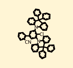 N#Cc1ccccc1-c1cc(N2c3ccccc3C(c3ccccc3)(c3ccccc3)c3ccccc32)c(Cl)c(N2c3ccccc3C(c3ccccc3)(c3ccccc3)c3ccccc32)c1